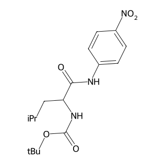 CC(C)CC(NC(=O)OC(C)(C)C)C(=O)Nc1ccc([N+](=O)[O-])cc1